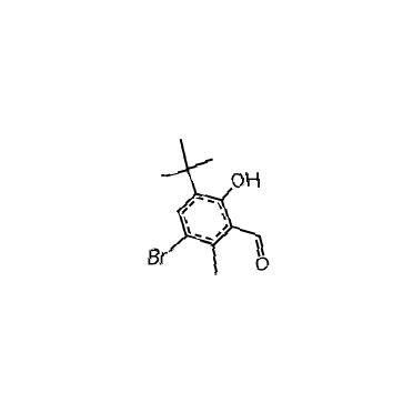 Cc1c(Br)cc(C(C)(C)C)c(O)c1C=O